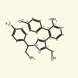 NCC(c1ccc(C(F)(F)F)cc1)n1cc(-c2ccnc(N)c2-c2ccc(Cl)cc2)c(CO)n1